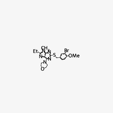 CCc1nc2c(N3CCOCC3)nc(SCc3ccc(OC)c(Br)c3)nc2n1C